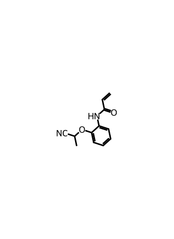 C=CC(=O)Nc1ccccc1OC(C)C#N